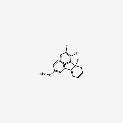 CCCCOc1cccc(C2=CC=CCC2(F)c2cccc(F)c2F)c1